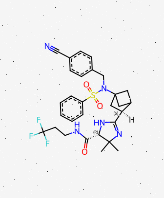 CC1(C)N=C([C@H]2CC3(N(Cc4ccc(C#N)cc4)S(=O)(=O)c4ccccc4)CC2C3)N[C@H]1C(=O)NCCC(F)(F)F